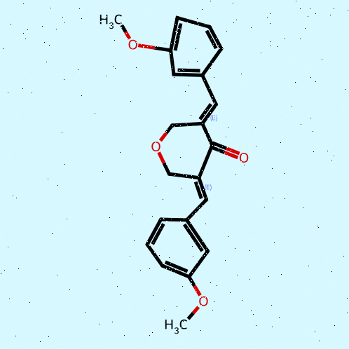 COc1cccc(/C=C2\COC/C(=C\c3cccc(OC)c3)C2=O)c1